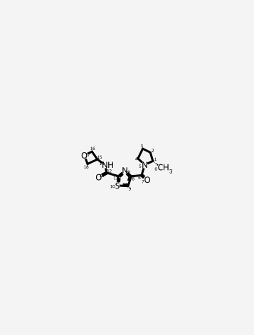 C[C@H]1CCCN1C(=O)c1csc(C(=O)NC2COC2)n1